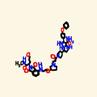 CNC(=O)C(CCC=O)N1C(=O)c2cccc(NCCOC3CCCN(CCC(=O)N4CCC([C@@H]5CCN/C(=C(/C(=N)c6ccc(Oc7ccccc7)cc6)C(N)=O)N5)CC4)C3)c2C1=O